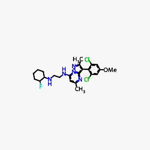 COc1cc(Cl)c(-c2c(C)nn3c(NCCNC4CCCCC4F)cc(C)nc23)c(Cl)c1